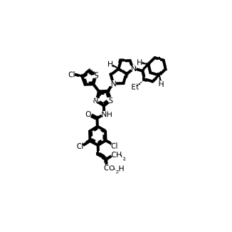 CC[C@H]1C[C@H]2CCC[C@H](C2)C1N1CC[C@H]2CN(c3sc(NC(=O)c4cc(Cl)c(/C=C(\C)C(=O)O)c(Cl)c4)nc3-c3cc(Cl)cs3)CC21